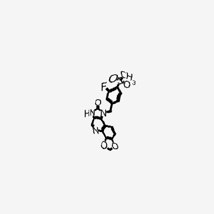 CS(=O)(=O)c1ccc(Cn2c(=O)[nH]c3cnc4c5c(ccc4c32)OCO5)cc1F